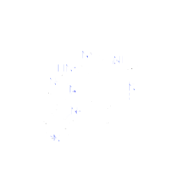 c1cc2c3cnc(Nc4ccc(NC5CCNC5)cn4)nc3n(C3CCCC3)c2cn1